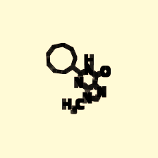 Cn1cnc2c(=O)[nH]c(C3CCCCCCCC3)nc21